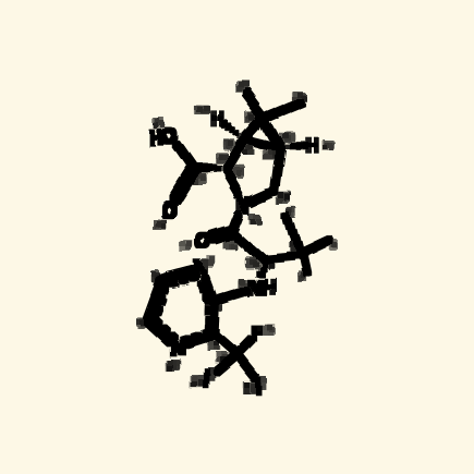 CC(C)(C)[C@H](Nc1nccnc1C(F)(F)F)C(=O)N1C[C@H]2[C@@H]([C@H]1C(=O)O)C2(C)C